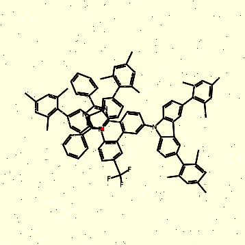 Cc1cc(C)c(-c2ccc3c(c2)c2cc(-c4c(C)cc(C)cc4C)ccc2n3-c2ccc(-c3nc(-c4ccccc4)nc(-c4ccccc4)n3)c(-c3cc(C(F)(F)F)ccc3-n3c4ccc(-c5c(C)cc(C)cc5C)cc4c4cc(-c5c(C)cc(C)cc5C)ccc43)c2)c(C)c1